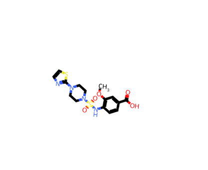 COc1cc(C(=O)O)ccc1NS(=O)(=O)N1CCN(c2nccs2)CC1